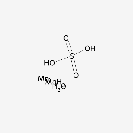 O.O=S(=O)(O)O.[MgH2].[Mn]